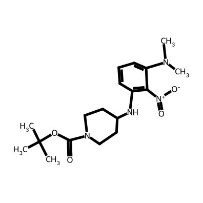 CN(C)c1cccc(NC2CCN(C(=O)OC(C)(C)C)CC2)c1[N+](=O)[O-]